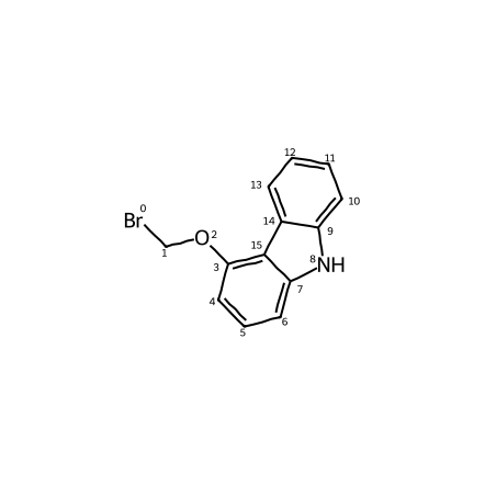 BrCOc1cccc2[nH]c3ccccc3c12